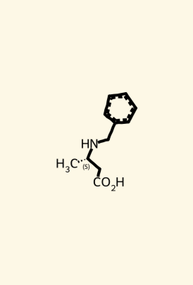 C[C@@H](CC(=O)O)NCc1ccccc1